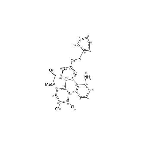 COC(=O)[C@@H](NC(=O)OCc1ccccc1)C(Sc1ccccc1N)c1ccc(Cl)c(Cl)c1